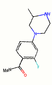 CNC(=O)c1ccc(N2CCNC(C)C2)cc1F